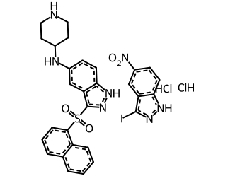 Cl.Cl.O=S(=O)(c1cccc2ccccc12)c1n[nH]c2ccc(NC3CCNCC3)cc12.O=[N+]([O-])c1ccc2[nH]nc(I)c2c1